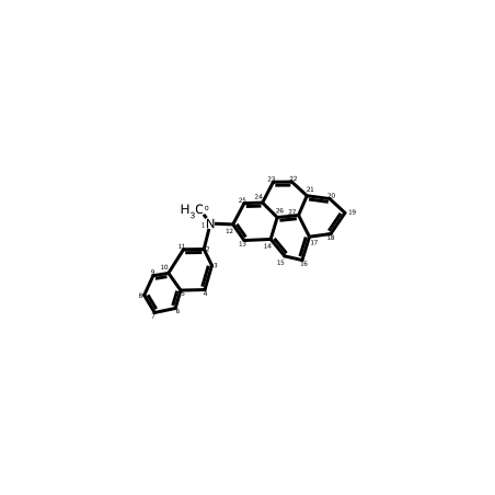 CN(c1ccc2ccccc2c1)c1cc2ccc3cccc4ccc(c1)c2c34